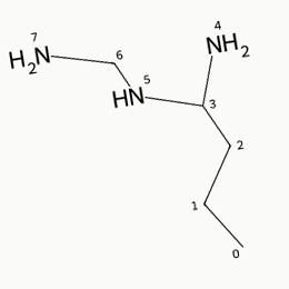 CCCC(N)NCN